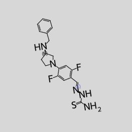 NC(=S)N/N=C/c1cc(F)c(N2CC[C@@H](NCc3ccccc3)C2)cc1F